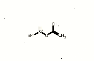 C=C(C)O[SiH2]CCC